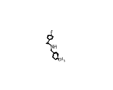 Cc1ccc(CNC2CC2c2ccc(F)cc2)cc1